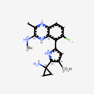 Cc1nc2ccc(F)c(-c3cc(C(=O)O)c(C4(N)CC4)[nH]3)c2nc1NC(C)(C)C